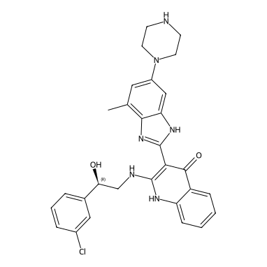 Cc1cc(N2CCNCC2)cc2[nH]c(-c3c(NC[C@H](O)c4cccc(Cl)c4)[nH]c4ccccc4c3=O)nc12